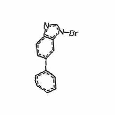 Brn1cnc2ccc(-c3ccccc3)cc21